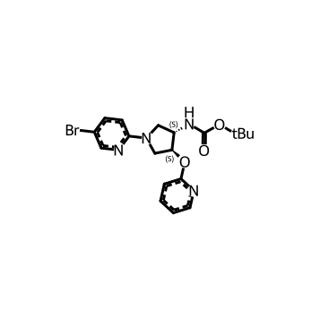 CC(C)(C)OC(=O)N[C@H]1CN(c2ccc(Br)cn2)C[C@@H]1Oc1ccccn1